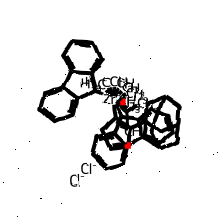 C[C](C)=[Zr+2]([CH3])([CH3])([CH3])([CH3])([CH3])([CH3])([CH3])([CH3])([C]1=C(C23CC4CC(CC(C4)C2)C3)C=CC1)([CH]1c2ccccc2-c2ccccc21)[CH]1c2ccccc2-c2ccccc21.[Cl-].[Cl-]